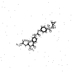 CC(O)CC(N)N(C)C(=O)c1ccc(NC(=O)Cc2ccc(S(=O)(=O)NC3CC3)cc2)cc1